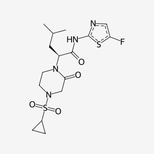 CC(C)C[C@@H](C(=O)Nc1ncc(F)s1)N1CCN(S(=O)(=O)C2CC2)CC1=O